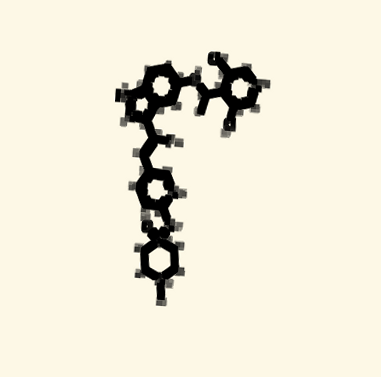 CC(Oc1ccc2[nH]nc(/C(F)=C/c3ccc(N=S4(=O)CCN(C)CC4)nc3)c2c1)c1c(Cl)cncc1Cl